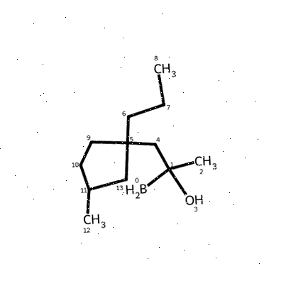 BC(C)(O)CC1(CCC)CCC(C)C1